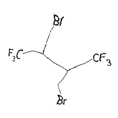 FC(F)(F)C(Br)C(Br)C(F)(F)F